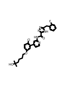 CC(C)(O)CCCCOc1ccc(Cl)c(-c2ccnc(NC(=O)c3nnc(Cc4ccccc4F)[nH]3)c2)c1